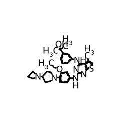 CCOc1cc(Nc2nc(Nc3cccc(C(C)(C)O)c3)c3c(C)csc3n2)ccc1N1CCC(N2CCC2)CC1